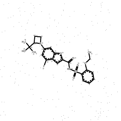 CCOc1ccccc1S(=O)(=O)NC(=O)c1cc2c(F)cc(N3CCC3C(C)(C)O)cc2o1